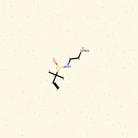 C=CC(C)(C)[S+]([O-])NCCCCCCCC